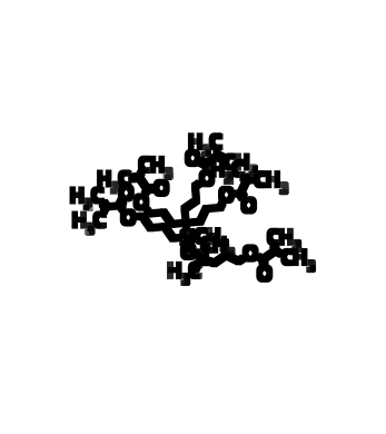 C=C(C)C(=O)OCCCC[Si](C)(O[Si](C)(C)CCCOC(=O)C(=C)C)C(CCCOC(=O)C(=C)C)(CCCOC(=O)C(=C)C)CCCOC(=O)C(=C)C